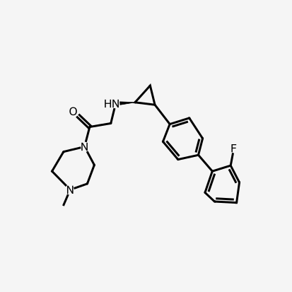 CN1CCN(C(=O)CN[C@H]2CC2c2ccc(-c3ccccc3F)cc2)CC1